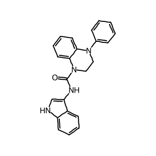 O=C(Nc1c[nH]c2ccccc12)N1CCN(c2ccccc2)c2ccccc21